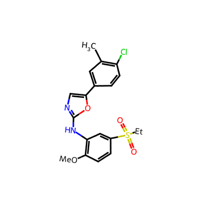 CCS(=O)(=O)c1ccc(OC)c(Nc2ncc(-c3ccc(Cl)c(C)c3)o2)c1